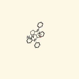 N[C@]1([C@H]2CCC[C@H]2P(c2ccccc2)c2ccccc2)CCC[C@H]1P(c1ccccc1)c1ccccc1